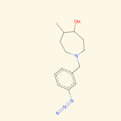 CC1CCN(Cc2cccc(N=[N+]=[N-])c2)CCC1O